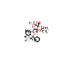 C[C@@H](O[Si](c1ccccc1)(c1ccccc1)C(C)(C)C)[C@H]1O[C@@](C)(O)[C@@H]2OC(C)(C)O[C@H]12